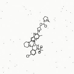 Cc1cn2nc([C@@H]3CCCCN3C(=O)c3cc(Cl)ccc3NS(C)(=O)=O)cc2nc1N1CC(OC(=O)[C@@H]2CCCN2C)C1